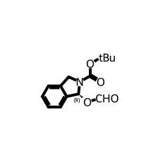 CC(C)(C)OC(=O)N1Cc2ccccc2[C@H]1OC=O